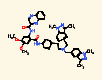 COc1cc(NC(=O)c2cnc3ccccc3n2)c(C(=O)Nc2ccc(CCN(Cc3ccc4c(c3)c(C)nn4C)Cc3ccc4c(c3)c(C)nn4C)cc2)cc1OC